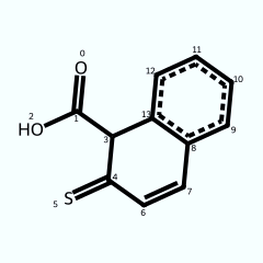 O=C(O)C1C(=S)C=Cc2ccccc21